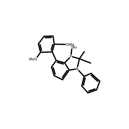 COc1cccc(OC)c1-c1cccc2c1P(C(C)(C)C)C(C)(C)N2c1ccccc1